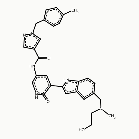 Cc1ccc(Cn2cc(C(=O)Nc3c[nH]c(=O)c(-c4cc5cc(CN(C)CCO)ccc5[nH]4)c3)cn2)cc1